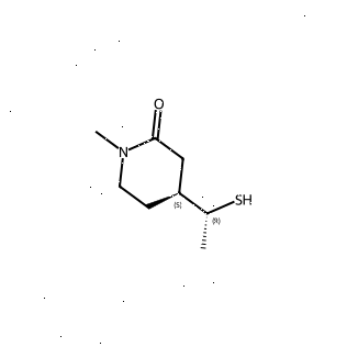 C[C@@H](S)[C@H]1CCN(C)C(=O)C1